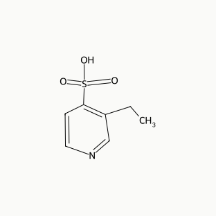 CCc1cnccc1S(=O)(=O)O